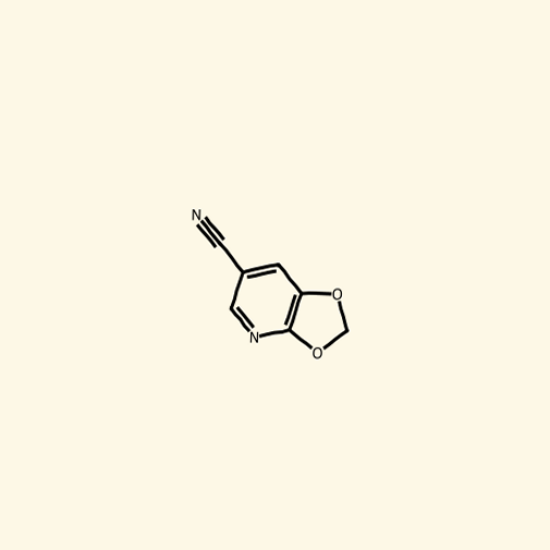 N#Cc1cnc2c(c1)OCO2